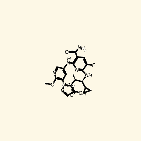 COc1ncc(Nc2nc(N[C@@H](C3CC3)[C@H](C)NC(=O)O)c(F)cc2C(N)=O)cc1-n1nccn1